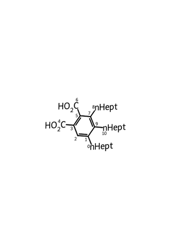 CCCCCCCc1cc(C(=O)O)c(C(=O)O)c(CCCCCCC)c1CCCCCCC